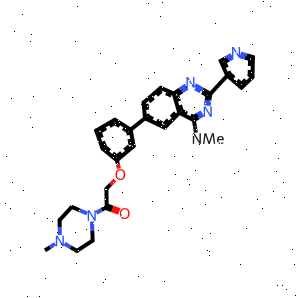 CNc1nc(-c2cccnc2)nc2ccc(-c3cccc(OCC(=O)N4CCN(C)CC4)c3)cc12